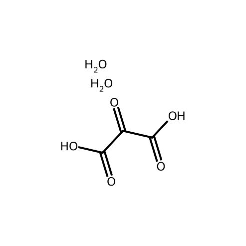 O.O.O=C(O)C(=O)C(=O)O